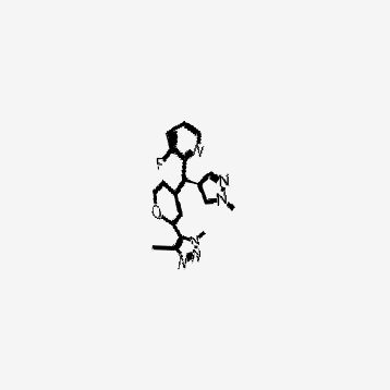 Cc1nnn(C)c1C1CC(C(c2ncccc2F)[C@H]2C=NN(C)C2)CCO1